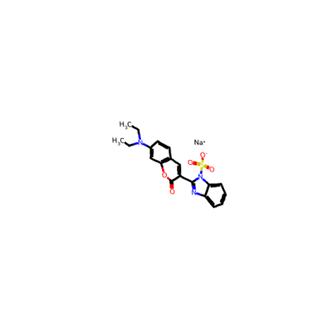 CCN(CC)c1ccc2cc(-c3nc4ccccc4n3S(=O)(=O)[O-])c(=O)oc2c1.[Na+]